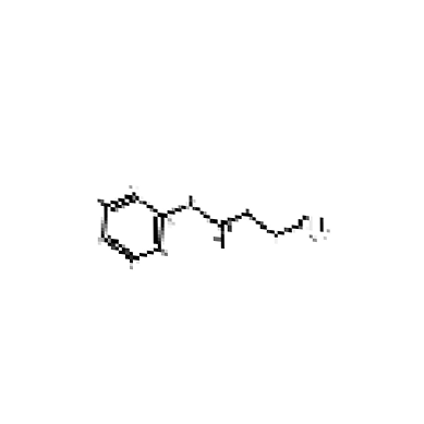 CCCNCc1c[c]ccc1